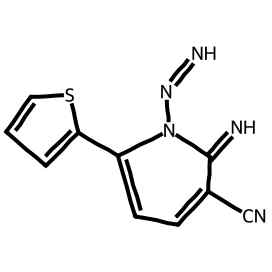 N#Cc1ccc(-c2cccs2)n(N=N)c1=N